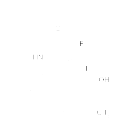 CC(O)c1cccc2c1C(F)(F)C(=O)N2